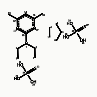 CC.CCC.CCN(CC)c1nc(C)cc(C)n1.OP(O)(O)=S.OP(O)(O)=S